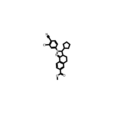 COC(=O)c1ccc2c(c1)CCC1C2=NN(c2ccc(C#N)c(Cl)c2)C1C1CCCC1